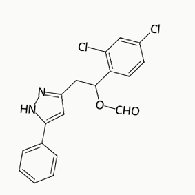 O=COC(Cc1cc(-c2ccccc2)[nH]n1)c1ccc(Cl)cc1Cl